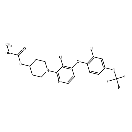 CNC(=O)OC1CCN(c2nccc(Oc3ccc(OC(F)(F)F)cc3Cl)c2Cl)CC1